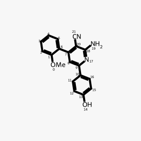 COc1ccccc1-c1cc(-c2ccc(O)cc2)nc(N)c1C#N